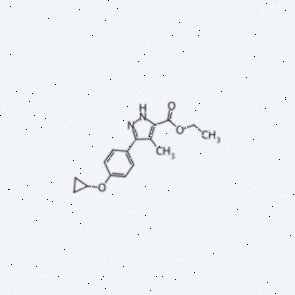 CCOC(=O)c1[nH]nc(-c2ccc(OC3CC3)cc2)c1C